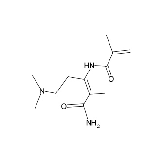 C=C(C)C(=O)NC(CCN(C)C)=C(C)C(N)=O